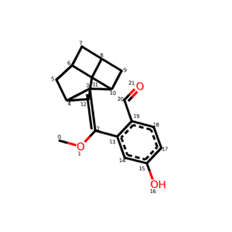 CO/C(=C1\C2CC3CC4CC1C34C2)c1cc(O)ccc1C=O